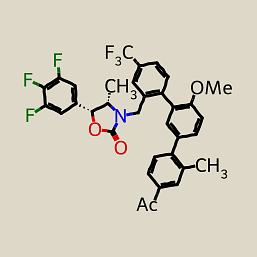 COc1ccc(-c2ccc(C(C)=O)cc2C)cc1-c1ccc(C(F)(F)F)cc1CN1C(=O)O[C@H](c2cc(F)c(F)c(F)c2)[C@@H]1C